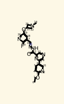 CCOc1ccc(-c2cncc(C(=O)N/N=C/c3cc(OC4CN(C)C4)cnc3F)n2)cn1